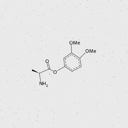 COc1ccc(OC(=O)[C@H](C)N)cc1OC